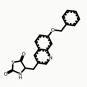 O=C1NC(Cc2cnc3cc(OCc4ccccc4)ccc3c2)C(=O)S1